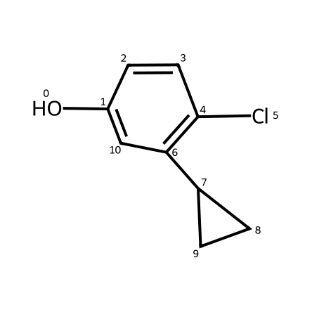 Oc1ccc(Cl)c(C2CC2)c1